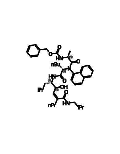 CCCC[C@@H](C(=O)N[C@@H](CC(C)C)[C@@H](O)C=C(CCC)C(=O)NCC(C)C)N(C(=O)[C@H](C)NC(=O)OCc1ccccc1)c1cccc2ccccc12